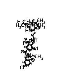 CCS(=O)(=O)c1ccc(Cl)cc1CNC(=O)c1cc(Cl)c(CNCCC[C@H](NC(=O)OC(C)(C)C)C(=O)OC(C)(C)C)c(C(F)(F)F)c1